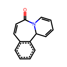 O=C1C=Cc2ccccc2C2C=CC=CN12